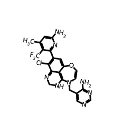 Cc1cc(N)nc(-c2cc3c4c(c2Cl)=NCNC=4N(Cc2cncnc2N)C=CO3)c1C(F)(F)F